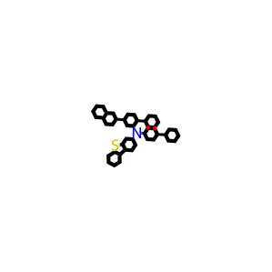 c1ccc(-c2ccc(N(c3ccc4c(c3)sc3ccccc34)c3cc(-c4ccc5ccccc5c4)ccc3-c3ccccc3)cc2)cc1